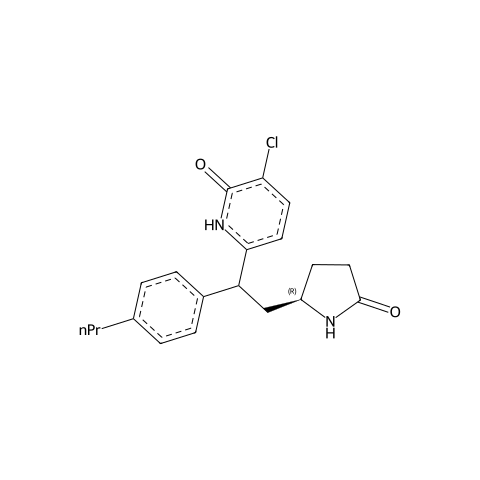 CCCc1ccc(C(C[C@H]2CCC(=O)N2)c2ccc(Cl)c(=O)[nH]2)cc1